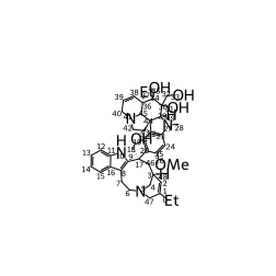 CCC1=C[C@@H]2CN(CCc3c([nH]c4ccccc34)[C@@](CO)(c3cc4c(cc3OC)N(C)[C@H]3C(O)(CO)[C@H](O)[C@]5(CC)C=CCN6CC[C@]43C65)C2)C1